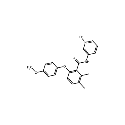 O=C(Nc1ccc[n+]([O-])c1)c1c(Oc2ccc(OC(F)(F)F)cc2)ccc(I)c1F